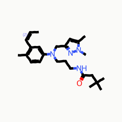 C/C=C\c1cc(N(CCCNC(=O)CC(C)(C)C)Cc2cc(C)n(C)n2)ccc1C